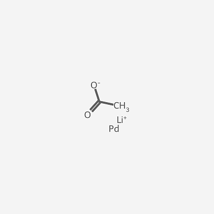 CC(=O)[O-].[Li+].[Pd]